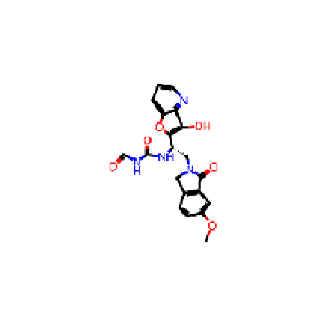 COc1ccc2c(c1)C(=O)N(C[C@H](NC(=O)NC=O)c1oc3cccnc3c1O)C2